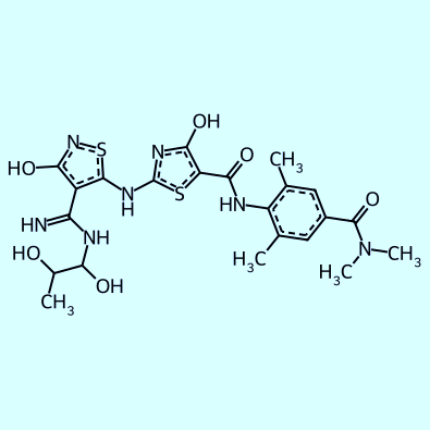 Cc1cc(C(=O)N(C)C)cc(C)c1NC(=O)c1sc(Nc2snc(O)c2C(=N)NC(O)C(C)O)nc1O